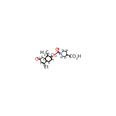 CCC1=CC(=O)Cc2c1ccc(OCC(=O)N1CCC(C(=O)O)CC1)c2C